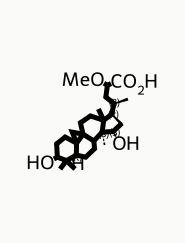 COC(C[C@@H](C)[C@H]1C[C@H](O)[C@@]2(C)C3CC[C@H]4C(C)(C)C(O)CCC45CC35CCC12C)C(=O)O